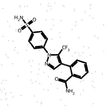 NC(=O)c1ccccc1-c1cnn(-c2ccc(S(N)(=O)=O)cc2)c1C(F)(F)F